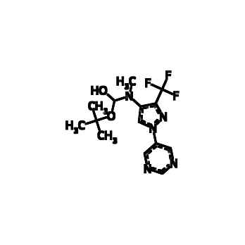 CN(c1cn(-c2cncnc2)nc1C(F)(F)F)C(O)OC(C)(C)C